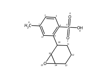 Cc1ccc(S(=O)(=O)O)c(C2CCCC3OC32)c1